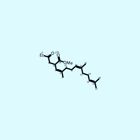 CCC(=O)CC(C=C(C)CCC=C(C)CCC=C(C)C)C(=O)OC